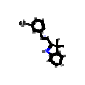 CC1(C)C(/C=C/c2cccc([N+](=O)[O-])c2)=Nc2ccccc21